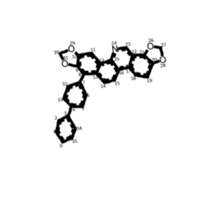 c1ccc(-c2ccc(-c3c4c(cc5c3ccc3c6ccc7c(c6cnc53)OCO7)OCO4)cc2)cc1